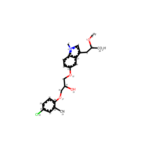 CC(C)OC(Cc1cn(C)c2ccc(OCC(O)COc3ccc(Cl)cc3C#N)cc12)C(=O)O